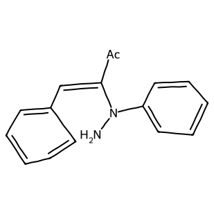 CC(=O)C(=Cc1ccccc1)N(N)c1ccccc1